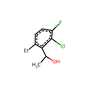 CCc1ccc(F)c(Cl)c1C(C)O